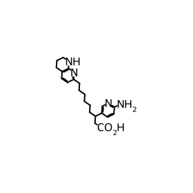 Nc1ccc(C(CCCCCCc2ccc3c(n2)NCCC3)CC(=O)O)cn1